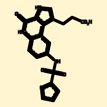 O=C(O)CCc1c[nH]c2c(=O)[nH]c3ccc(NS(=O)(=O)c4cccs4)cc3c12